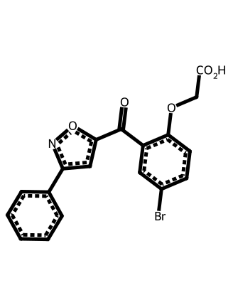 O=C(O)COc1ccc(Br)cc1C(=O)c1cc(-c2ccccc2)no1